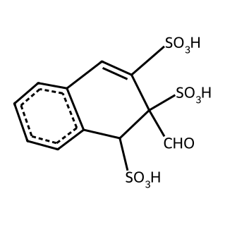 O=CC1(S(=O)(=O)O)C(S(=O)(=O)O)=Cc2ccccc2C1S(=O)(=O)O